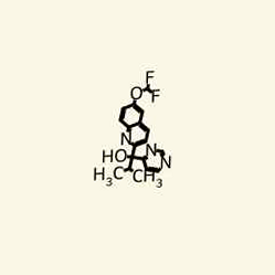 CC(C)C(O)(c1ccncn1)c1ccc2cc(OC(F)F)ccc2n1